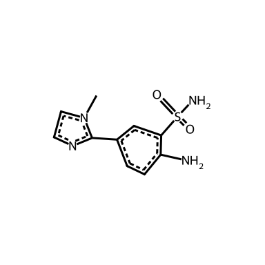 Cn1ccnc1-c1ccc(N)c(S(N)(=O)=O)c1